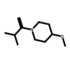 C=C(C(C)C)N1CCC(OC)CC1